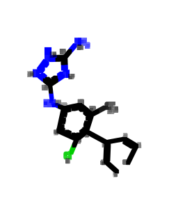 C/C=C\C(=C/C)c1c(Cl)cc(Nc2n[nH]c(N)n2)cc1C(F)(F)F